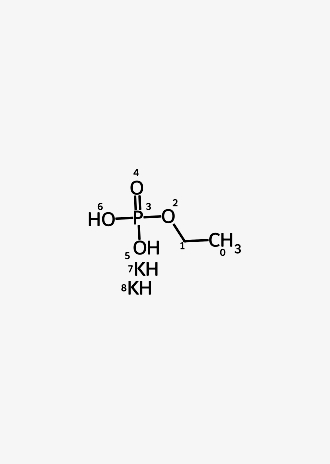 CCOP(=O)(O)O.[KH].[KH]